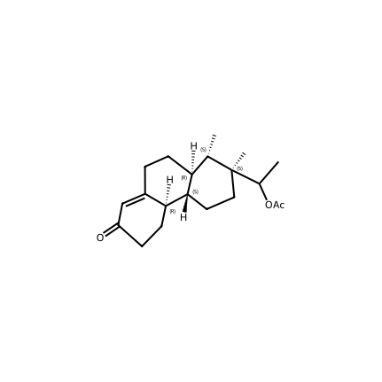 CC(=O)OC(C)[C@@]1(C)CC[C@H]2[C@@H](CCC3=CC(=O)CC[C@@H]32)[C@@H]1C